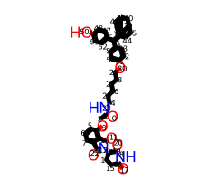 O=C(COc1cccc2c1C(=O)N(C1CCC(=O)NC1=O)C2=O)NCCCCCCOc1ccc(C(=C2C3CC4CC(C3)CC2C4)c2ccc(O)cc2)cc1